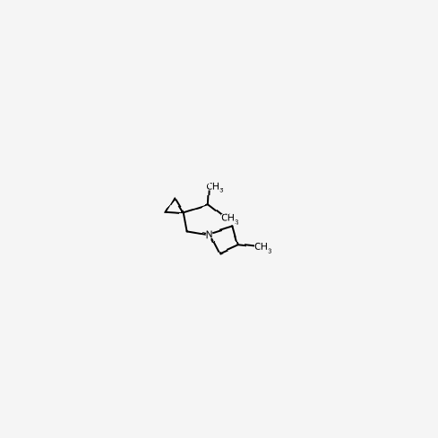 CC1CN(CC2(C(C)C)CC2)C1